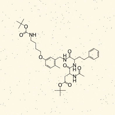 CC(=O)NC(CC(=O)OC(C)(C)C)C(=O)NC(CCc1ccccc1)C(=O)NCc1cc(OCCCCNC(=O)OC(C)(C)C)ccc1C